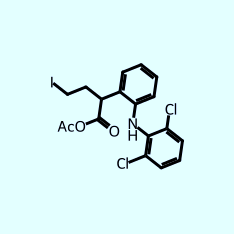 CC(=O)OC(=O)C(CCI)c1ccccc1Nc1c(Cl)cccc1Cl